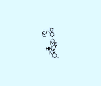 COc1ccc([C@@H]2CC(=O)N(CC(=O)Nc3nc4ccc(C)cc4s3)C2)cc1OC1CCCO1